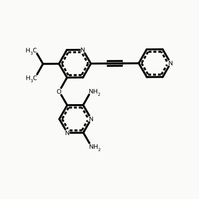 CC(C)c1cnc(C#Cc2ccncc2)cc1Oc1cnc(N)nc1N